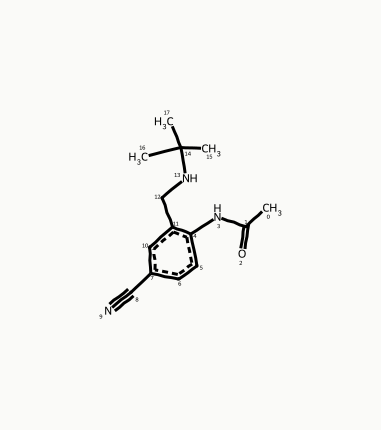 CC(=O)Nc1ccc(C#N)cc1CNC(C)(C)C